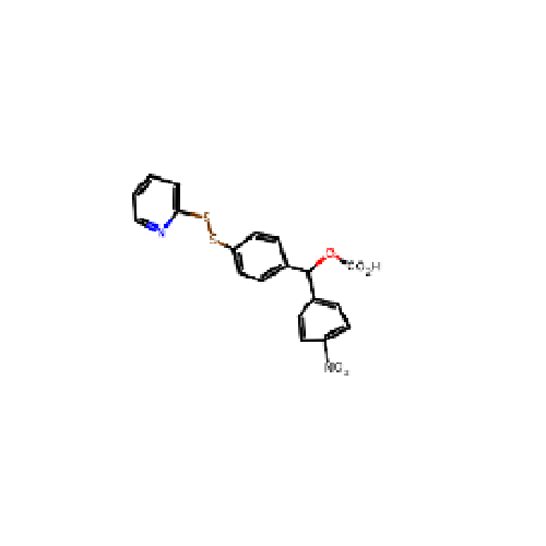 O=C(O)OC(c1ccc(SSc2ccccn2)cc1)c1ccc([N+](=O)[O-])cc1